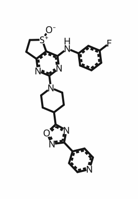 [O-][S+]1CCc2nc(N3CCC(c4nc(-c5ccncc5)no4)CC3)nc(Nc3cccc(F)c3)c21